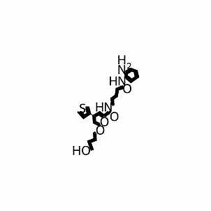 Nc1ccccc1NC(=O)CCCCNC(=O)C1=C[C@@H](c2ccsc2)C[C@@H](OCCCCO)O1